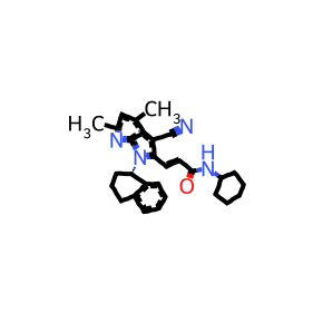 Cc1cc(C)c2c(C#N)c(C=CC(=O)NC3CCCCC3)n([C@H]3CCCc4ccccc43)c2n1